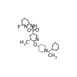 Cc1cc(S(=O)(=O)Nc2cccc(F)n2)cnc1OC1CCN(C(C)c2ccccc2)CC1